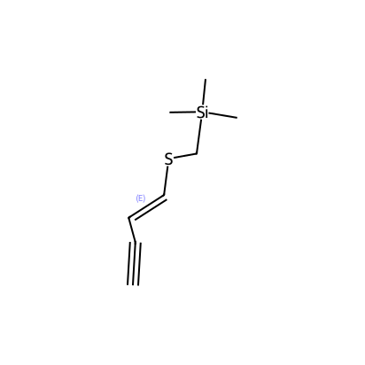 C#C/C=C/SC[Si](C)(C)C